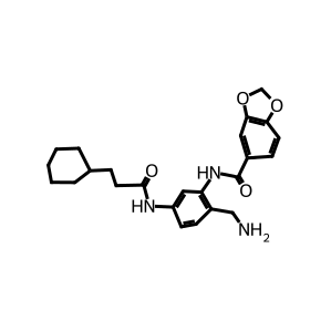 NCc1ccc(NC(=O)CCC2CCCCC2)cc1NC(=O)c1ccc2c(c1)OCO2